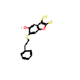 Oc1cc2c(S)c(S)oc2cc1SCCc1ccccc1